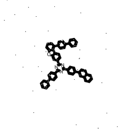 c1ccc(-c2ccc(-c3nc(-c4ccc(-c5ccc6ccccc6c5)cc4)nc(-c4ccc5c(c4)oc4cccc(-c6ccc(-c7ccccc7)cc6)c45)n3)cc2)cc1